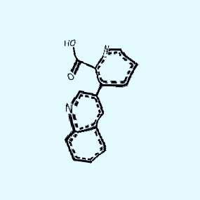 O=C(O)c1ncccc1-c1cnc2ccccc2c1